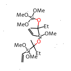 C=C[Si](OC)(OC)C(C)(CC)O[Si](C=C)(OC)C(C)(CC)O[Si](OC)(OC)OC